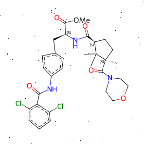 COC(=O)[C@H](Cc1ccc(NC(=O)c2c(Cl)cccc2Cl)cc1)NC(=O)[C@H]1CC[C@@](C)(C(=O)N2CCOCC2)C1(C)C